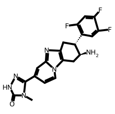 Cn1c(-c2ccn3c4c(nc3c2)C[C@H](c2cc(F)c(F)cc2F)[C@@H](N)C4)n[nH]c1=O